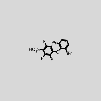 CC(C)c1cccc(C(C)C)c1Oc1c(F)c(F)c(S(=O)(=O)O)c(F)c1F